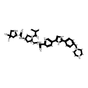 CC(C)C(=O)N1C[C@H](NC(=O)[C@@H]2CC(F)(F)CN2)C[C@@H]1CNC(=O)c1ccc(-c2cnc(-c3ccc(CN4CCOCC4)cc3)s2)cn1